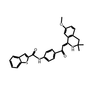 COc1ccc2c(c1)/C(=C/C(=O)c1ccc(NC(=O)c3cc4ccccc4s3)cc1)NC(C)(C)C2